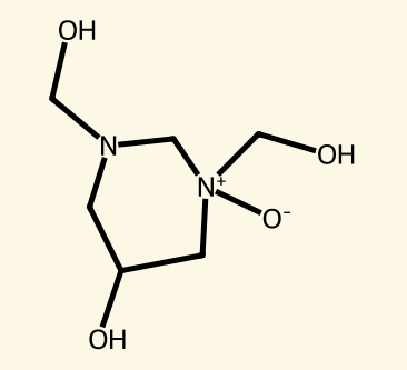 [O-][N+]1(CO)CC(O)CN(CO)C1